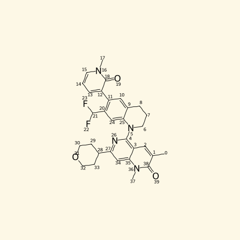 Cc1cc2c(N3CCCc4cc(-c5cccn(C)c5=O)c(C(F)F)cc43)nc(C3CCOCC3)cc2n(C)c1=O